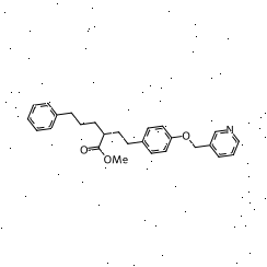 COC(=O)C(CCCc1ccccc1)CCc1ccc(OCc2cccnc2)cc1